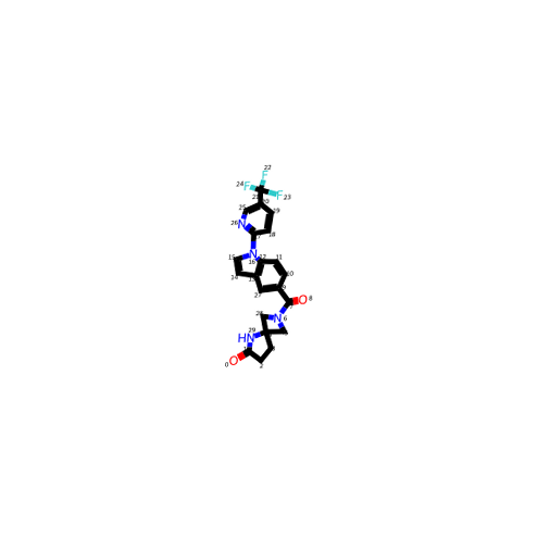 O=C1CCC2(CN(C(=O)c3ccc4c(ccn4-c4ccc(C(F)(F)F)cn4)c3)C2)N1